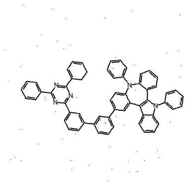 C1=CCCC(c2nc(-c3ccccc3)nc(-c3cccc(-c4cccc(-c5ccc6c(c5)-c5c(n(-c7ccccc7)c7ccccc57)-c5ccccc5N6c5ccccc5)c4)c3)n2)=C1